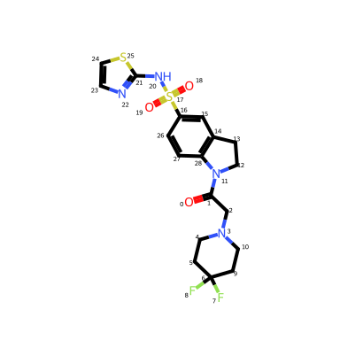 O=C(CN1CCC(F)(F)CC1)N1CCc2cc(S(=O)(=O)Nc3nccs3)ccc21